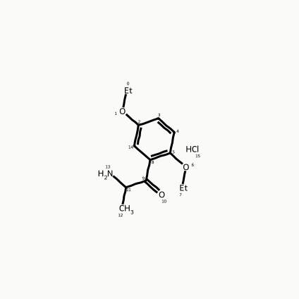 CCOc1ccc(OCC)c(C(=O)C(C)N)c1.Cl